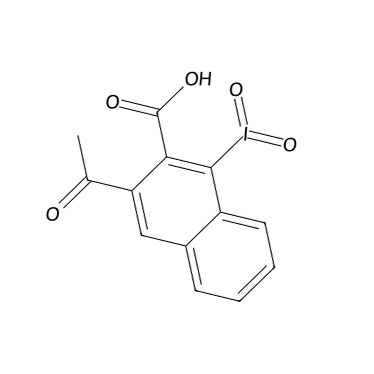 CC(=O)c1cc2ccccc2c(I(=O)=O)c1C(=O)O